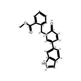 COC(=O)c1ccccc1Cn1cc(-c2ccc3cn[nH]c3c2)ccc1=O